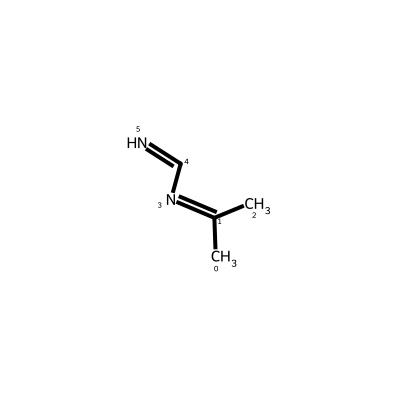 CC(C)=NC=N